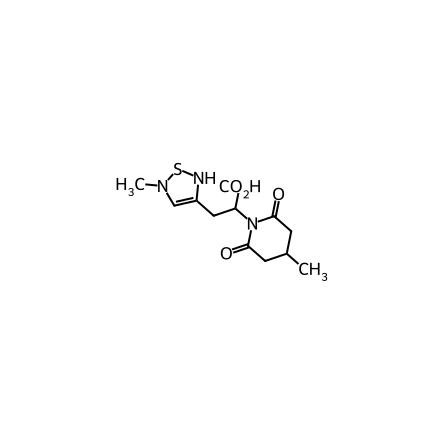 CC1CC(=O)N(C(CC2=CN(C)SN2)C(=O)O)C(=O)C1